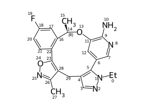 CCn1ncc2c1-c1cnc(N)c(c1)O[C@H](C)c1cc(F)ccc1-c1onc(C)c1C2